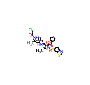 CC(C)CN(C(O)(CCNC(=O)CC(C)(C)CNC(=O)CCl)Cc1ccccc1)S(=O)(=O)c1ccc2ncsc2c1